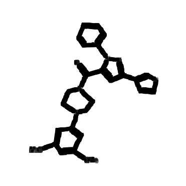 COc1cc(OC)cc(N2CCN(C(=O)c3cc(-c4ccsc4)nn3-c3ccccc3)CC2)c1